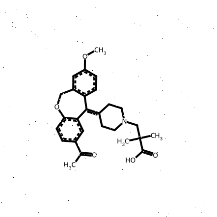 COc1ccc2c(c1)COc1ccc(C(C)=O)cc1C2=C1CCN(CC(C)(C)C(=O)O)CC1